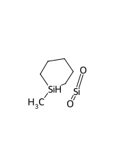 C[SiH]1CCCCC1.O=[Si]=O